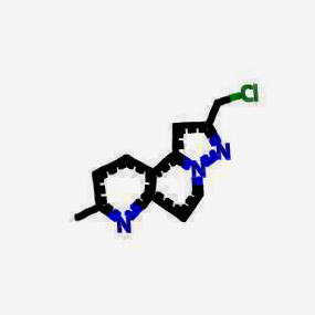 Cc1ccc2c(ccn3nc(CCl)cc23)n1